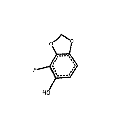 Oc1ccc2c(c1F)OCO2